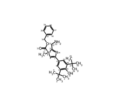 CC(C)(C)c1cc(C2=C[N+](C)(C(=O)OCc3ccccc3)C(CN)=N2)cc(C(C)(C)C)c1O